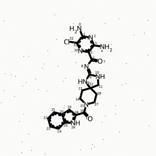 Nc1nc(N)c(C(=O)/N=C2\NCC3(CCN(C(=O)c4cc5ccccc5[nH]4)CC3)N2)nc1Cl